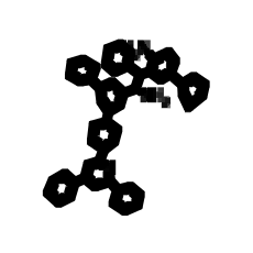 Nc1ccc(-c2ccccc2)cc1C(c1ccccc1)[C@@H](N)c1cc(-c2ccccc2)cc(-c2ccc(-c3cc(-c4ccccc4)cc(-c4ccccc4)n3)cc2)c1